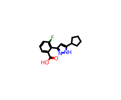 O=C(O)c1cccc(F)c1-c1cc(C2CCCC2)[nH]n1